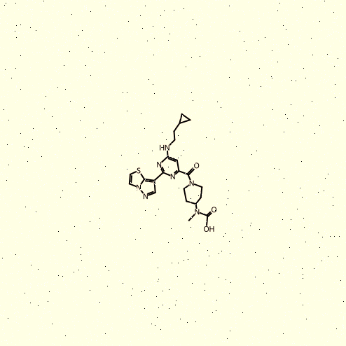 CN(C(=O)O)C1CCN(C(=O)c2cc(NCCC3CC3)nc(-c3cnn4ccsc34)n2)CC1